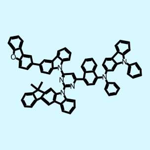 CC1(C)c2ccccc2-c2cc3c4ccccc4n(-c4nc(-c5ccc(N(c6ccccc6)c6ccc7c8ccccc8n(-c8ccccc8)c7c6)c6ccccc56)cc(-n5c6ccccc6c6cc(-c7ccc8oc9ccccc9c8c7)ccc65)n4)c3cc21